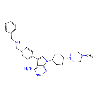 CN1CCN([C@H]2CC[C@@H](n3cc(-c4ccc(CNCc5ccccc5)cc4)c4c(N)ncnc43)CC2)CC1